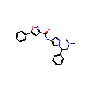 CN(C)CC(c1ccccc1)n1cc(NC(=O)c2cc(-c3ccccc3)on2)cn1